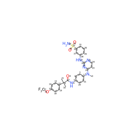 CN(c1ccc(NC(=O)C(C)(C)c2ccc(OC(F)(F)F)cc2)cc1)c1ccnc(Nc2cccc(S(N)(=O)=O)c2)n1